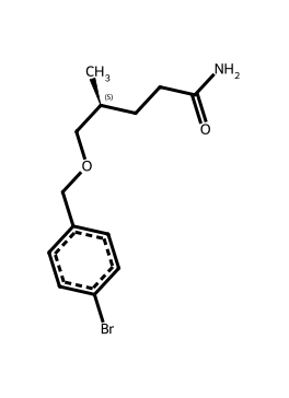 C[C@@H](CCC(N)=O)COCc1ccc(Br)cc1